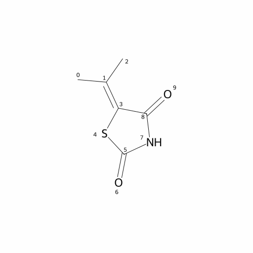 CC(C)=C1SC(=O)NC1=O